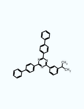 CC(C)c1cccc(-c2nc(-c3ccc(-c4ccccc4)cc3)nc(-c3ccc(-c4ccccc4)cc3)n2)c1